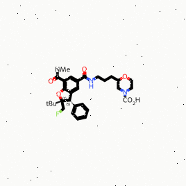 CNC(=O)c1cc(C(=O)NCCCC2CN(C(=O)O)CCO2)cc2c1O[C@](CF)(C(C)(C)C)[C@H]2c1ccccc1